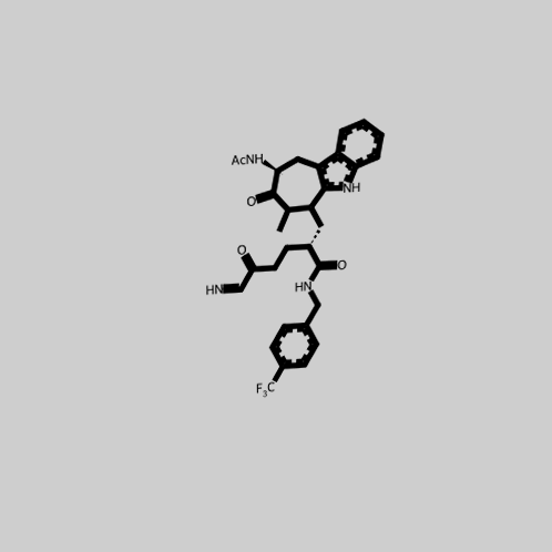 CC(=O)N[C@H]1Cc2c([nH]c3ccccc23)C(C[C@@H](CCC(=O)C=N)C(=O)NCc2ccc(C(F)(F)F)cc2)C(C)C1=O